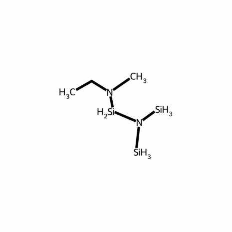 CCN(C)[SiH2]N([SiH3])[SiH3]